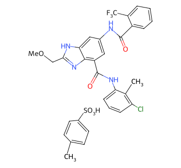 COCc1nc2c(C(=O)Nc3cccc(Cl)c3C)cc(NC(=O)c3ccccc3C(F)(F)F)cc2[nH]1.Cc1ccc(S(=O)(=O)O)cc1